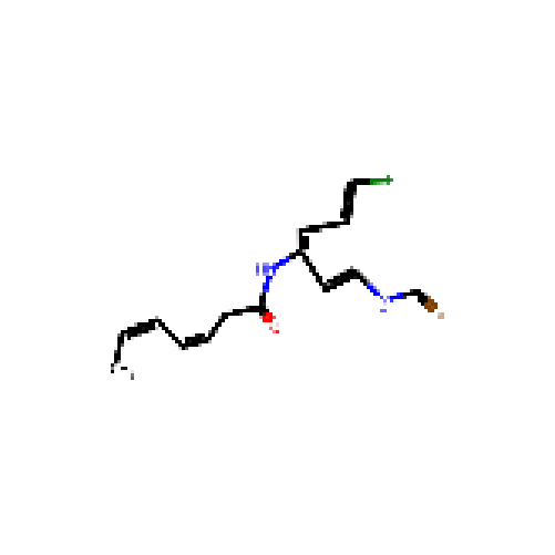 C/C=C\C=C/CC(=O)NC(/C=C/NC=S)=C/C=C/F